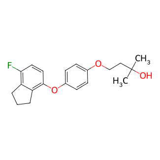 CC(C)(O)CCOc1ccc(Oc2ccc(F)c3c2CCC3)cc1